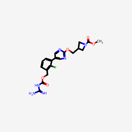 COC(=O)N1CC(COc2ncc(-c3cccc(COC(=O)NC(=N)N)c3F)cn2)C1